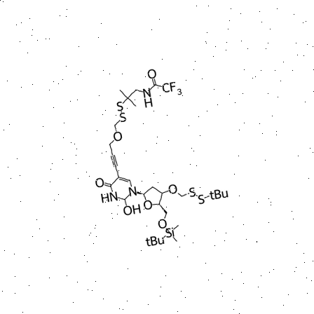 CC(C)(C)SSCOC1C[C@H](N2C=C(C#CCOCSSC(C)(C)CNC(=O)C(F)(F)F)C(=O)NC2O)O[C@@H]1CO[Si](C)(C)C(C)(C)C